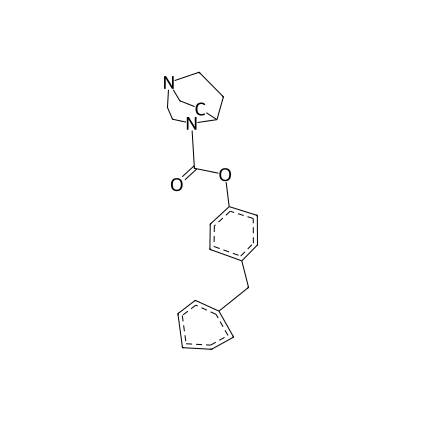 O=C(Oc1ccc(Cc2ccccc2)cc1)N1CCN2CCC1CC2